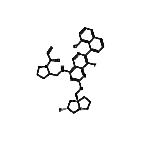 C=CC(=O)N1CCCC1CNc1nc(OC[C@@]23CCCN2C[C@H](F)C3)nc2c(F)c(-c3cccc4cccc(Cl)c34)ncc12